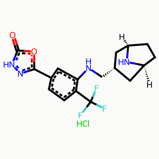 Cl.O=c1[nH]nc(-c2ccc(C(F)(F)F)c(NC[C@@H]3C[C@H]4CC[C@@H](C3)N4)c2)o1